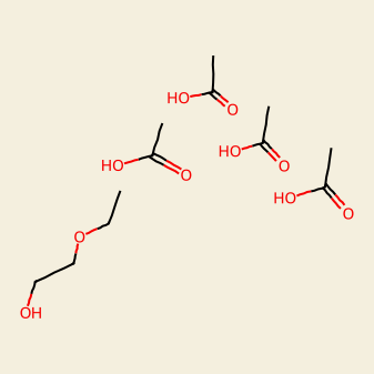 CC(=O)O.CC(=O)O.CC(=O)O.CC(=O)O.CCOCCO